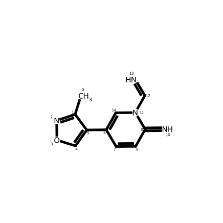 Cc1nocc1-c1ccc(=N)n(C=N)c1